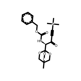 CC12COC([C@@H](NC(=O)OCc3ccccc3)C(=O)C#C[Si](C)(C)C)(OC1)OC2